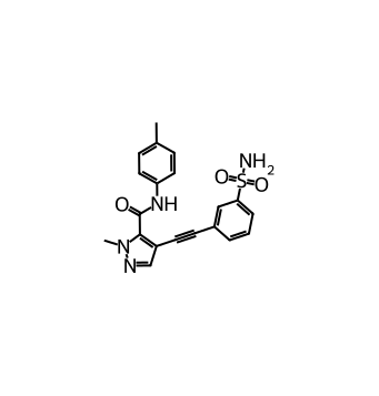 Cc1ccc(NC(=O)c2c(C#Cc3cccc(S(N)(=O)=O)c3)cnn2C)cc1